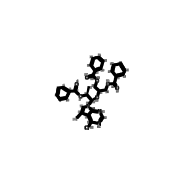 C[C@H](OC(=O)c1ccccc1)[C@@H](OC(COC(=O)c1ccccc1)COC(=O)c1ccccc1)n1cc(I)c2c(Cl)ncnc21